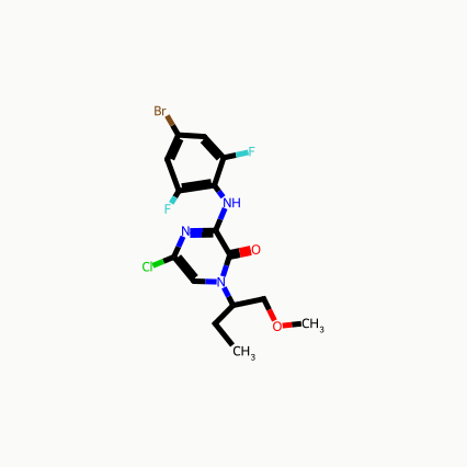 CCC(COC)n1cc(Cl)nc(Nc2c(F)cc(Br)cc2F)c1=O